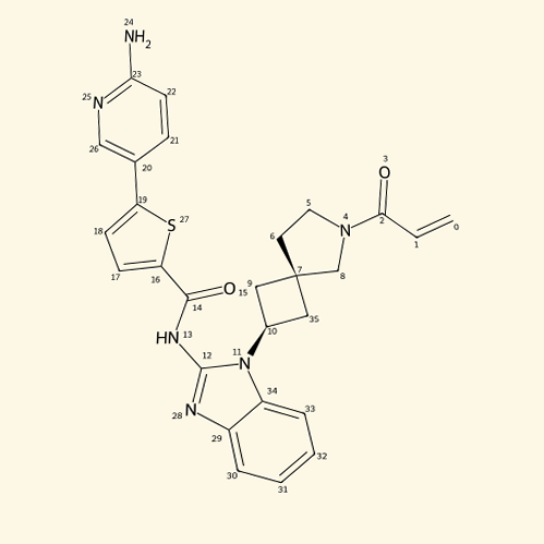 C=CC(=O)N1CC[C@]2(C1)C[C@H](n1c(NC(=O)c3ccc(-c4ccc(N)nc4)s3)nc3ccccc31)C2